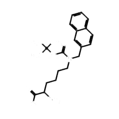 CC(C)(C)OC(=O)N(CCCCC(N)C(=O)O)Cc1ccc2ccccc2c1